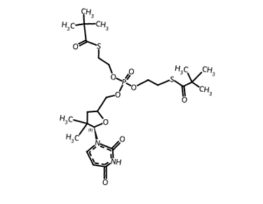 CC(C)(C)C(=O)SCCOP(=O)(OCCSC(=O)C(C)(C)C)OCC1CC(C)(C)[C@H](n2ccc(=O)[nH]c2=O)O1